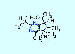 Cc1nc(C(C)C)nc2c1C(C)(C)C(C)C2(C)C(C)C